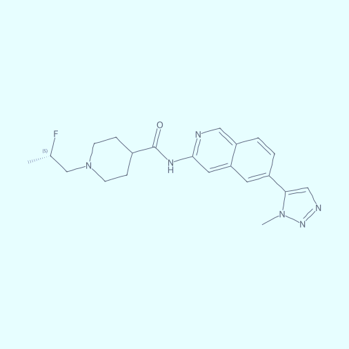 C[C@H](F)CN1CCC(C(=O)Nc2cc3cc(-c4cnnn4C)ccc3cn2)CC1